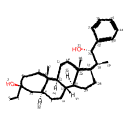 CC[C@]1(O)CC[C@@]2(C)[C@@H](CC[C@@H]3[C@@H]2CC[C@]2(C)[C@@H]([C@H](C)[C@H](O)c4ccccc4)CC[C@@H]32)C1